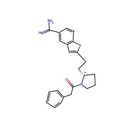 N=C(N)c1ccc2sc(CC[C@@H]3CCCN3C(=O)Cc3ccccc3)cc2c1